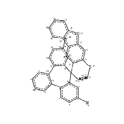 Brc1ccc2c(c1)C1(c3ccccc3Sc3cc4oc5ccccc5c4cc31)c1cc(Br)ccc1-c1ccccc1-2